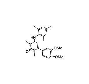 COc1ccc(C2=CC(Nc3c(C)cc(C)cc3C)N(C)C(=O)N2C)cc1OC